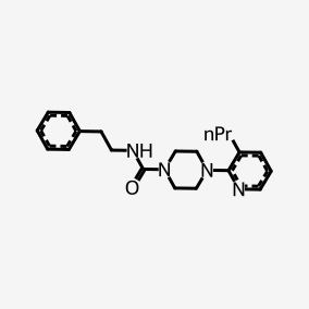 CCCc1cccnc1N1CCN(C(=O)NCCc2ccccc2)CC1